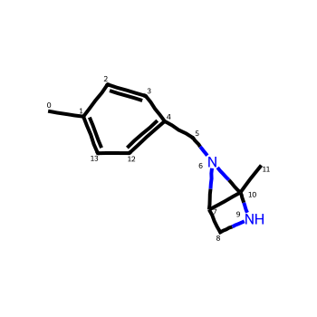 Cc1ccc(CN2C3CNC32C)cc1